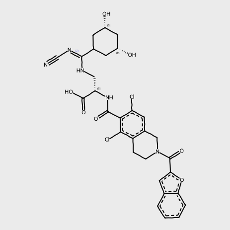 N#C/N=C(\NC[C@H](NC(=O)c1c(Cl)cc2c(c1Cl)CCN(C(=O)c1cc3ccccc3o1)C2)C(=O)O)C1C[C@@H](O)C[C@@H](O)C1